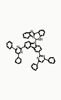 c1ccc(-c2cc(-c3ccccc3)nc(-c3ccc4c(c3)c3cc(-c5nc(-c6ccccc6)cc(-c6ccccc6)n5)ccc3n4C3Nc4ccccc4-c4nc5ccccc5n43)n2)cc1